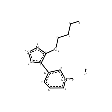 CCCCOc1nsnc1-c1ccc[n+](C)c1.[I-]